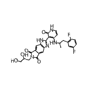 CC(Cc1cc(F)ccc1F)Nc1cc[nH]c(=O)c1-c1nc2cc3c(cc2[nH]1)C(=O)N(CC(O)CO)C3=O